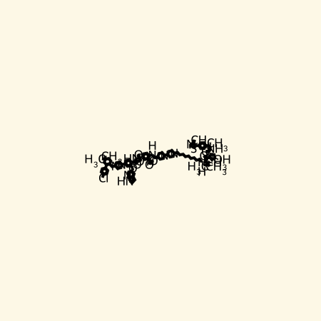 Cc1ncsc1-c1ccc([C@H](C)NC(=O)[C@@H]2C[C@@H](O)CN2C(=O)[C@@H](NCCCCCCCCCN2CCC(N3CCC(CNc4ccc(S(=O)(=O)NC(=O)c5ccc(N6CCN(CC7=C(c8ccc(Cl)cc8)CC(C)(C)CC7)CC6)cc5Oc5cnc6[nH]ccc6c5)cc4[N+](=O)[O-])CC3)CC2)C(C)(C)C)cc1